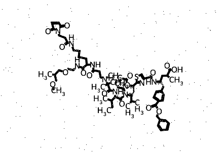 CCCN(C(=O)[C@@H](NC(=O)C(C)(C)N(C)CCC(=O)NC(CCCCNC(=O)CCN1C(=O)C=CC1=O)C(=O)NCCOCC(C)COC)C(C)CC)[C@H](C[C@@H](OC(C)=O)c1nc(C(=O)N[C@@H](Cc2ccc(C(=O)OCc3ccccc3)cc2)CC(C)C(=O)O)cs1)C(C)C